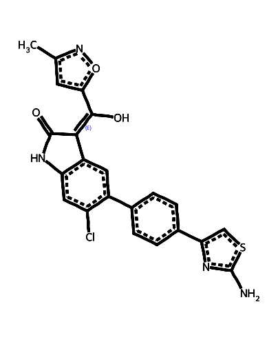 Cc1cc(/C(O)=C2\C(=O)Nc3cc(Cl)c(-c4ccc(-c5csc(N)n5)cc4)cc32)on1